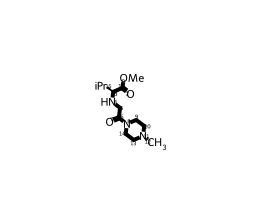 COC(=O)[C@@H](NCC(=O)N1CCN(C)CC1)C(C)C